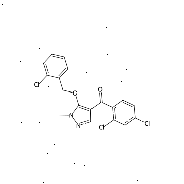 Cn1ncc(C(=O)c2ccc(Cl)cc2Cl)c1OCc1ccccc1Cl